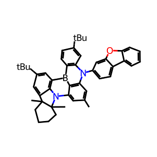 Cc1cc2c3c(c1)N1c4c(cc(C(C)(C)C)cc4C4(C)CCCCC14C)B3c1ccc(C(C)(C)C)cc1N2c1ccc2c(c1)oc1ccccc12